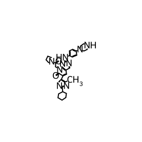 Cc1nc(C2CCCCC2)ncc1-c1cc2cnc(Nc3ccc(N4CCNCC4)cc3)nc2n(CC(=O)N2CCCC2)c1=O